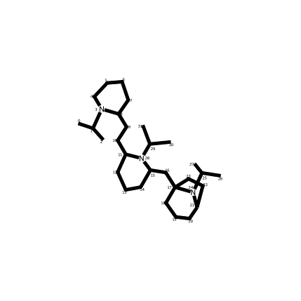 CC(C)N1CCCCC1CCC1CCCC(CC23CCCC(CC2)N3C(C)C)N1C(C)C